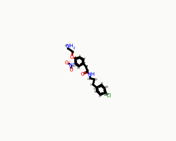 NCCOc1ccc(CC(=O)NCCCc2ccc(Cl)cc2)cc1[N+](=O)[O-]